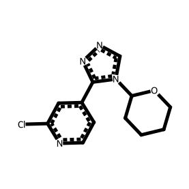 Clc1cc(-c2nncn2C2CCCCO2)ccn1